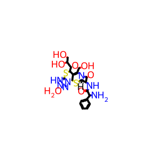 NC(C(=O)NC1C(=O)N2C(C(=O)O)=C(C(CC(O)CO)Sc3nnn[nH]3)CS[C@@H]12)c1ccccc1.O